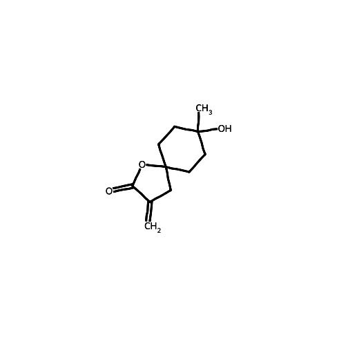 C=C1CC2(CCC(C)(O)CC2)OC1=O